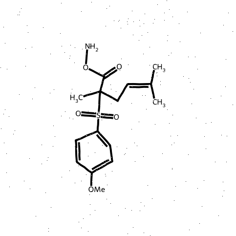 COc1ccc(S(=O)(=O)C(C)(CC=C(C)C)C(=O)ON)cc1